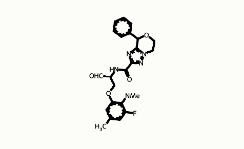 CNc1c(F)cc(C)cc1OC[C@@H](C=O)NC(=O)c1nc2n(n1)CCOC2c1ccccc1